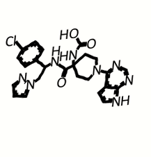 O=C(O)NC1(C(=O)NC(Cn2cccn2)c2ccc(Cl)cc2)CCN(c2ncnc3[nH]ccc23)CC1